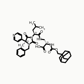 CC(C)C[C@@H](C(=O)NC[C@H](NC(=O)OCC12CC3CC(CC(C3)C1)C2)C(=O)O)N1C(=O)N(Cc2ccccc2)[C@@](C)(c2ccncc2)C1=O